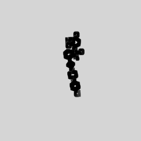 Cn1c(=O)n(C2CCC(=O)NC2=O)c2cccc(C3CC(N4CCN(c5ccc(Cl)cc5)CC4)C3)c21